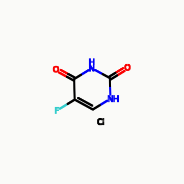 O=c1[nH]cc(F)c(=O)[nH]1.[C]